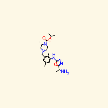 Cc1cc(CN2CCN(C(=O)OC(C)C)[C@@H](C)C2)c(C)c(Nc2nnc(C(C)N)o2)c1